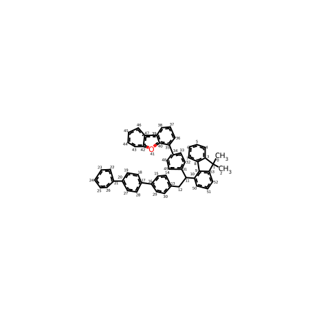 CC1(C)c2ccccc2-c2c(C(Cc3ccc(-c4ccc(-c5ccccc5)cc4)cc3)c3ccc(-c4cccc5c4oc4ccccc45)cc3)cccc21